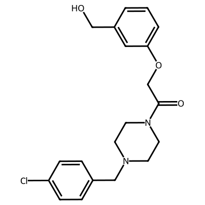 O=C(COc1cccc(CO)c1)N1CCN(Cc2ccc(Cl)cc2)CC1